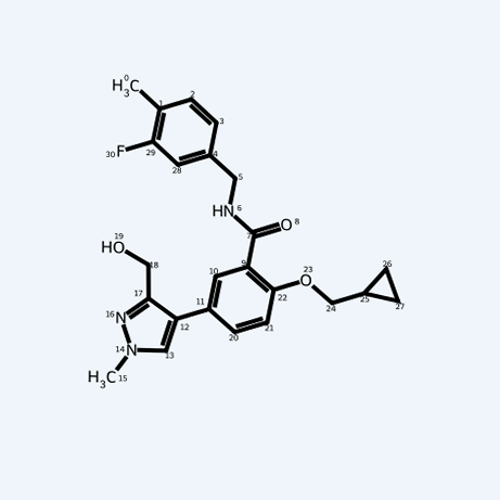 Cc1ccc(CNC(=O)c2cc(-c3cn(C)nc3CO)ccc2OCC2CC2)cc1F